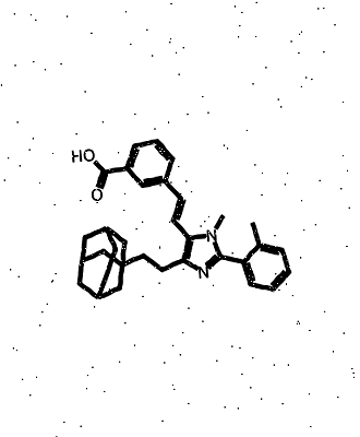 Cc1ccccc1-c1nc(CCC23CC4CC(CC(C4)C2)C3)c(C=Cc2cccc(C(=O)O)c2)n1C